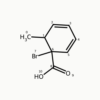 CC1C=CC=CC1(Br)C(=O)O